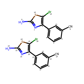 N#Cc1cccc(-c2nc(N)sc2Br)c1.N#Cc1cccc(-c2nc(N)sc2Br)c1